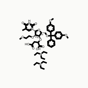 CCN(CC)CC.CCN(CC)CC.COCCO[C@@H]1[C@H](OC(CC(=O)O)C(=O)O)[C@@H](COC(c2ccccc2)(c2ccc(OC)cc2)c2ccc(OC)cc2)O[C@H]1n1cc(C)c(=O)[nH]c1=O